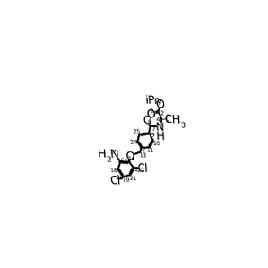 CC(C)OC(=O)[C@H](C)NC(=O)c1ccc(COc2c(N)cc(Cl)cc2Cl)cc1